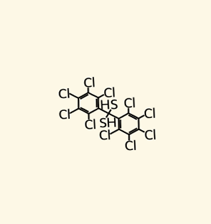 SC(S)(c1c(Cl)c(Cl)c(Cl)c(Cl)c1Cl)c1c(Cl)c(Cl)c(Cl)c(Cl)c1Cl